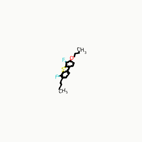 CCCCOc1ccc2c(sc3c(F)c(CCCC)ccc32)c1F